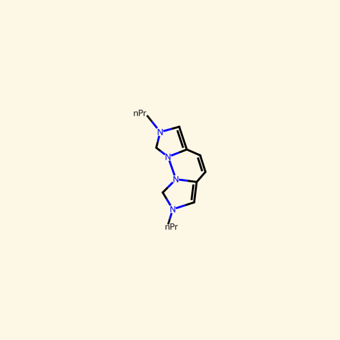 CCCN1C=C2C=CC3=CN(CCC)CN3N2C1